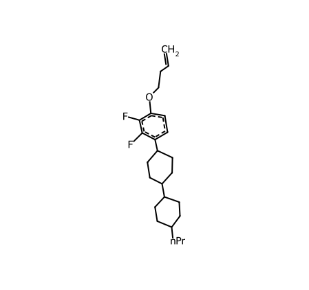 C=CCCOc1ccc(C2CCC(C3CCC(CCC)CC3)CC2)c(F)c1F